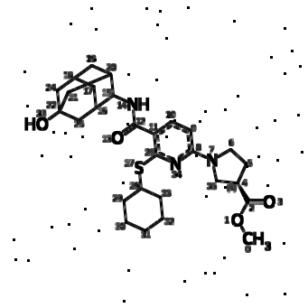 COC(=O)[C@@H]1CCN(c2ccc(C(=O)NC3C4CC5CC3CC(O)(C5)C4)c(SC3CCCCC3)n2)C1